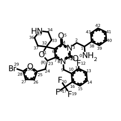 NC(Cn1c(=O)c2c(n(Cc3c(F)cccc3C(F)(F)F)c1=O)[C@@H](Cc1ccc(Br)o1)OC21CCNCC1)c1ccccc1